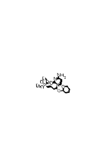 CCOP(=O)(C=CCC(OC1CCCCO1)n1ccc(N)nc1=O)OCC